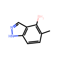 Bc1c(C)ccc2[nH]ncc12